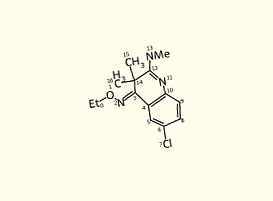 CCON=C1c2cc(Cl)ccc2N=C(NC)C1(C)C